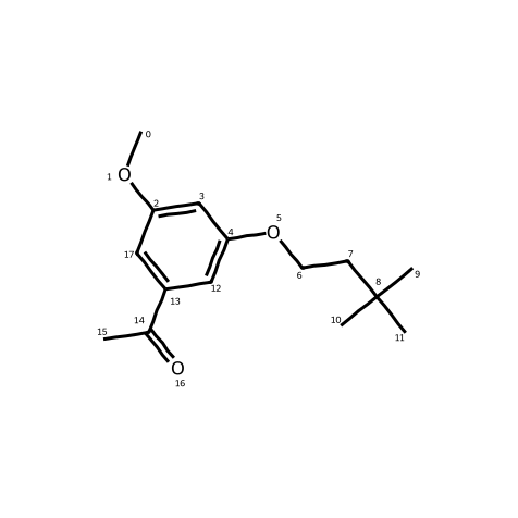 COc1cc(OCCC(C)(C)C)cc(C(C)=O)c1